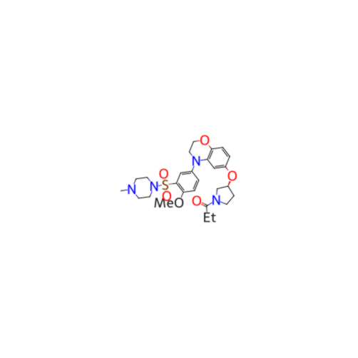 CCC(=O)N1CC[C@H](Oc2ccc3c(c2)N(c2ccc(OC)c(S(=O)(=O)N4CCN(C)CC4)c2)CCO3)C1